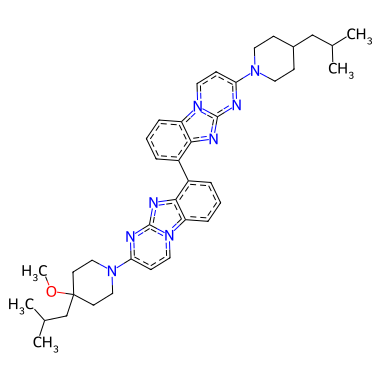 COC1(CC(C)C)CCN(c2ccn3c(n2)nc2c(-c4cccc5c4nc4nc(N6CCC(CC(C)C)CC6)ccn45)cccc23)CC1